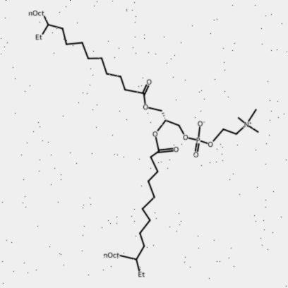 CCCCCCCCC(CC)CCCCCCCCC(=O)OC[C@H](COP(=O)([O-])OCC[N+](C)(C)C)OC(=O)CCCCCCCCC(CC)CCCCCCCC